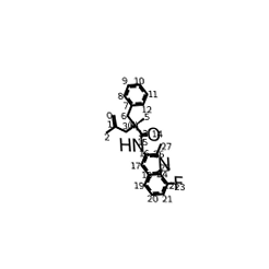 C=C(C)C[C@](C)(Cc1ccccc1)C(=O)Nc1cc2cccc(F)c2nc1C